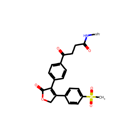 CCCNC(=O)CCC(=O)c1ccc(C2=C(c3ccc(S(C)(=O)=O)cc3)COC2=O)cc1